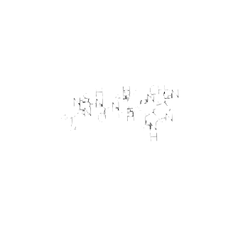 CN(c1c(C#N)cnc2[nH]ccc12)[C@H]1C[C@@H]2CN(C(=O)Nc3nc(C4CC4)ns3)C[C@@H]2C1